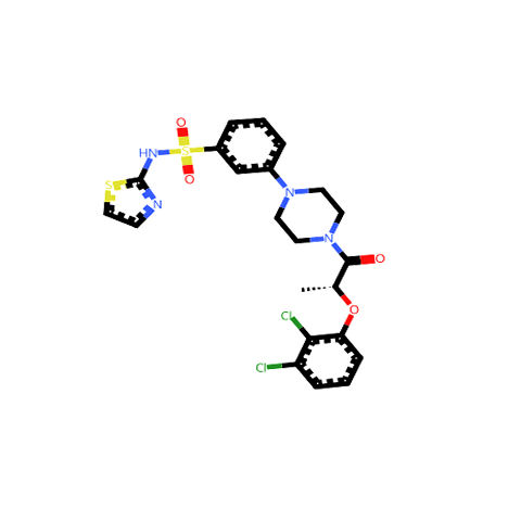 C[C@@H](Oc1cccc(Cl)c1Cl)C(=O)N1CCN(c2cccc(S(=O)(=O)Nc3nccs3)c2)CC1